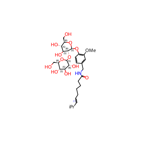 COc1cc(CNC(=O)CCCC/C=C/C(C)C)ccc1O[C@@H]1O[C@H](CO)[C@@H](O)[C@H](O)[C@H]1O[C@@H]1O[C@H](CO)[C@@H](O)[C@H](O)[C@H]1O